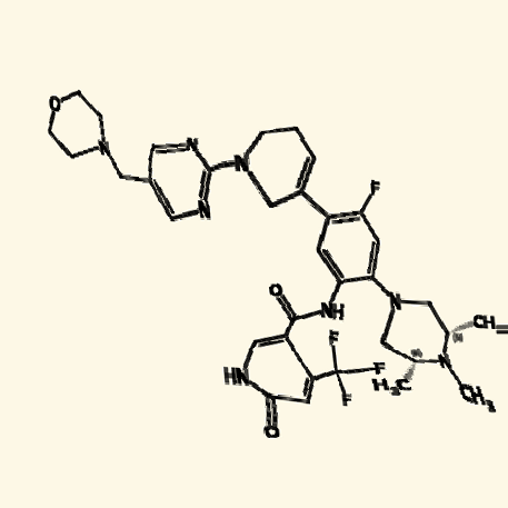 C[C@@H]1CN(c2cc(F)c(C3=CCCN(c4ncc(CN5CCOCC5)cn4)C3)cc2NC(=O)c2c[nH]c(=O)cc2C(F)(F)F)C[C@H](C)N1C